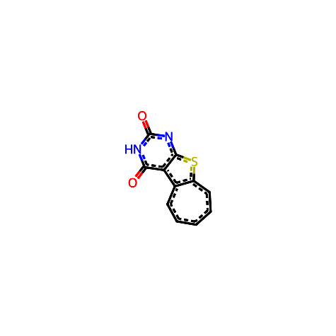 O=c1nc2sc3cccccc3c2c(=O)[nH]1